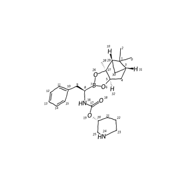 CC1(C)[C@@H]2C[C@H]3OB([C@H](Cc4ccccc4)NC(=O)O[C@@H]4CCCNC4)O[C@@]3(C)[C@H]1C2